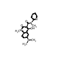 CN(C)c1ccc2c(c1)c(O)c(C(=O)N(C)c1ccccn1)c(=O)n2C